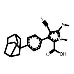 CSc1c(C#N)c(-c2ccc(C34CC5CC(CC(C5)C3)C4)cc2)c(C(=O)O)n1C